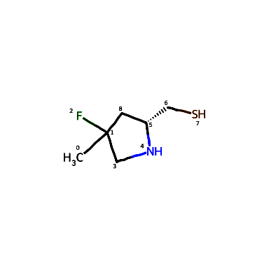 CC1(F)CN[C@@H](CS)C1